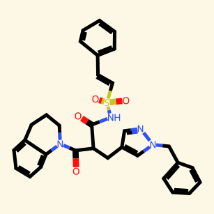 O=C(NS(=O)(=O)C=Cc1ccccc1)C(Cc1cnn(Cc2ccccc2)c1)C(=O)N1CCCc2ccccc21